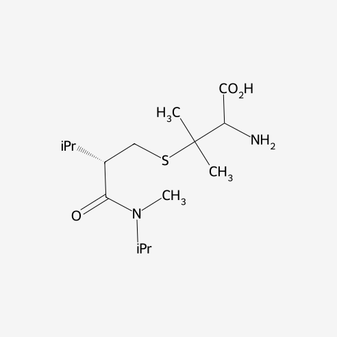 CC(C)[C@H](CSC(C)(C)C(N)C(=O)O)C(=O)N(C)C(C)C